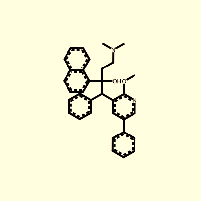 COc1ncc(-c2ccccc2)cc1C(c1ccccc1)C(O)(CCN(C)C)c1cccc2ccccc12